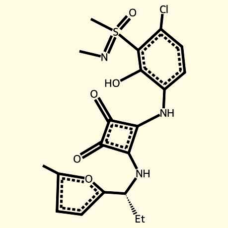 CC[C@@H](Nc1c(Nc2ccc(Cl)c(S(C)(=O)=NC)c2O)c(=O)c1=O)c1ccc(C)o1